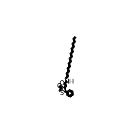 CCCCCCCCCCCCCCCCCCNC(=O)CN1C(=O)CSC1c1ccccc1